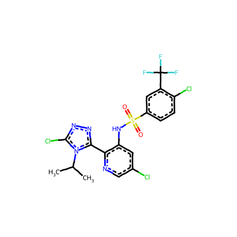 CC(C)n1c(Cl)nnc1-c1ncc(Cl)cc1NS(=O)(=O)c1ccc(Cl)c(C(F)(F)F)c1